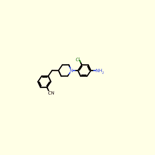 N#Cc1cccc(CC2CCN(c3ccc(N)cc3Cl)CC2)c1